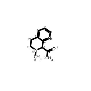 CC(=O)C1c2ncccc2CCN1C